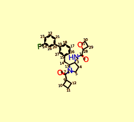 O=C(N[C@H]1CCN(C(=O)C2CCC2)[C@H]1Cc1cccc(-c2cccc(F)c2)c1)C1CCO1